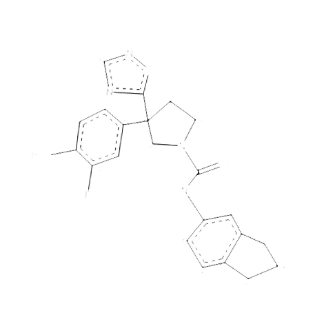 Cc1ccc(C2(c3ncns3)CCN(C(=O)Nc3ccc4c(c3)CCC4)C2)cc1F